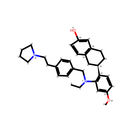 CCN(Cc1ccc(CCN2CCCC2)cc1)c1cc(OC)ccc1[C@@H]1CCc2cc(O)ccc2C1